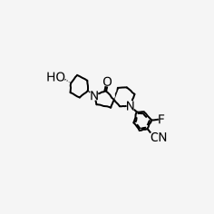 N#Cc1ccc(N2CCC[C@]3(CCN([C@H]4CC[C@@H](O)CC4)C3=O)C2)cc1F